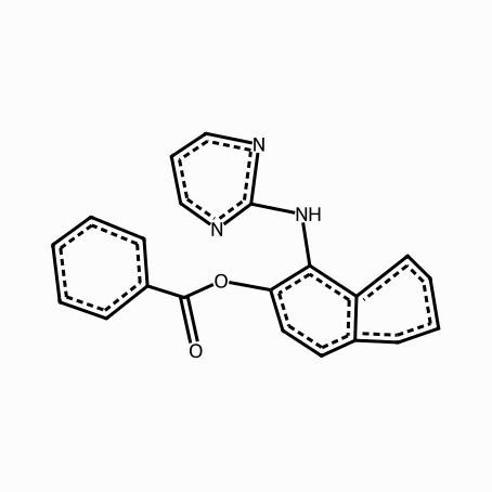 O=C(Oc1ccc2ccccc2c1Nc1ncccn1)c1ccccc1